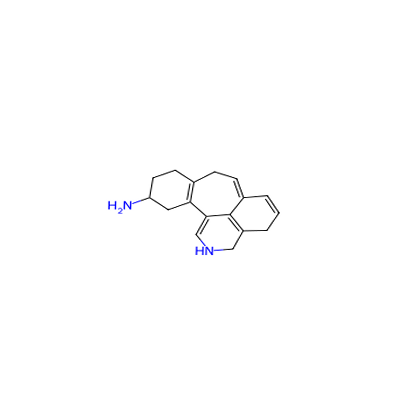 NC1CCC2=C(C1)C1=CNCC3=C1C(=CC2)C=CC3